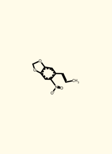 C/C=C/c1cc2c(cc1[N+](=O)[O-])OCO2